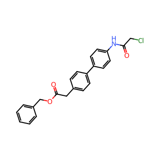 O=C(CCl)Nc1ccc(-c2ccc(CC(=O)OCc3ccccc3)cc2)cc1